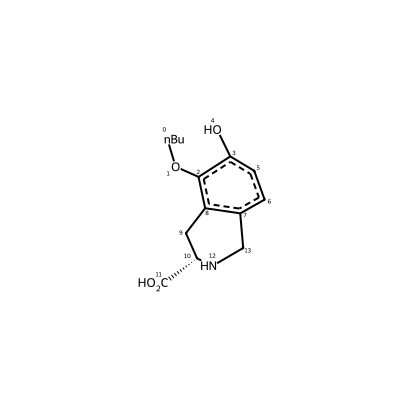 CCCCOc1c(O)ccc2c1C[C@@H](C(=O)O)NC2